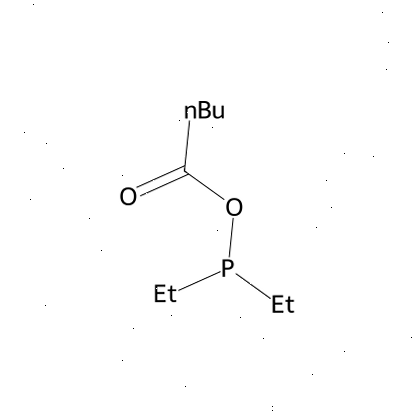 CCCCC(=O)OP(CC)CC